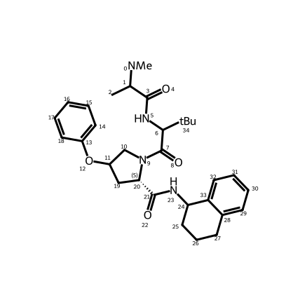 CNC(C)C(=O)NC(C(=O)N1CC(Oc2ccccc2)C[C@H]1C(=O)NC1CCCc2ccccc21)C(C)(C)C